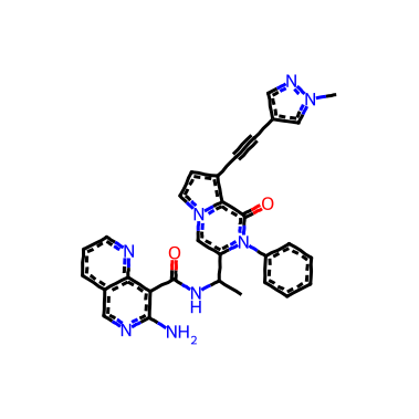 CC(NC(=O)c1c(N)ncc2cccnc12)c1cn2ccc(C#Cc3cnn(C)c3)c2c(=O)n1-c1ccccc1